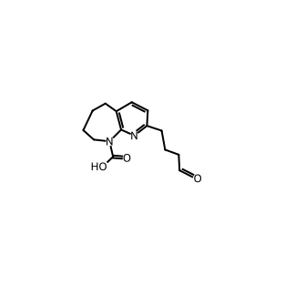 O=CCCCc1ccc2c(n1)N(C(=O)O)CCCC2